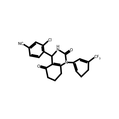 N#Cc1ccc(C2NC(=O)N(C3=CCCC(C(F)(F)F)=C3)C3=C2C(=O)CCC3)c(Cl)c1